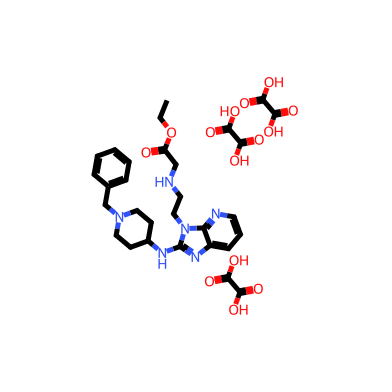 CCOC(=O)CNCCn1c(NC2CCN(Cc3ccccc3)CC2)nc2cccnc21.O=C(O)C(=O)O.O=C(O)C(=O)O.O=C(O)C(=O)O